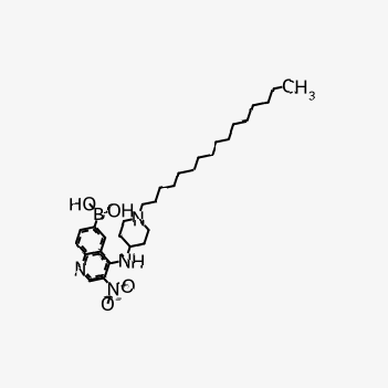 CCCCCCCCCCCCCCCCN1CCC(Nc2c([N+](=O)[O-])cnc3ccc(B(O)O)cc23)CC1